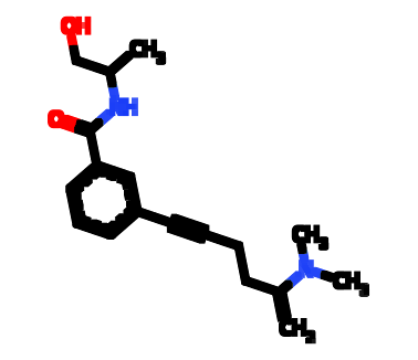 C=C(CCC#Cc1cccc(C(=O)NC(C)CO)c1)N(C)C